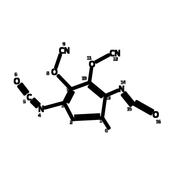 Cc1cc(N=C=O)c(OC#N)c(OC#N)c1N=C=O